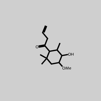 C=CCC(=O)C1C(C)C(O)C(OC)CC1(C)C